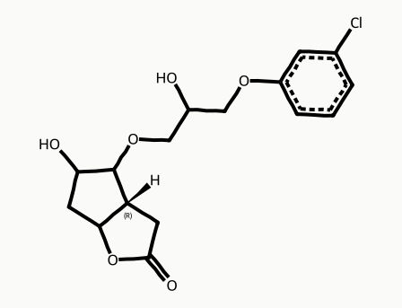 O=C1C[C@@H]2C(CC(O)C2OCC(O)COc2cccc(Cl)c2)O1